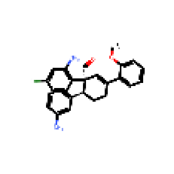 COc1ccccc1C1=C[C@](C=O)(c2ccc(Cl)cc2N)[C@H](c2cccc(N)c2)CC1